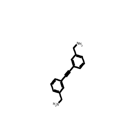 NCc1cccc(C#Cc2cccc(CN)c2)c1